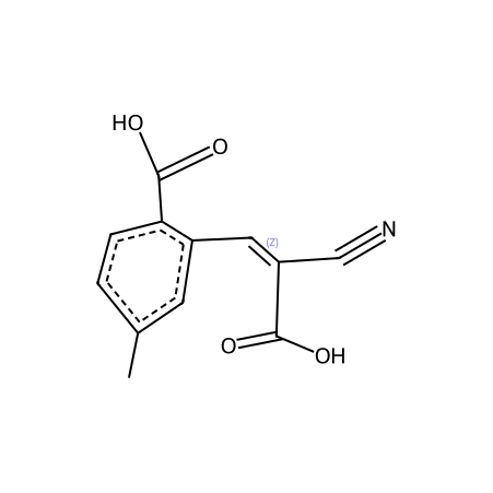 Cc1ccc(C(=O)O)c(/C=C(/C#N)C(=O)O)c1